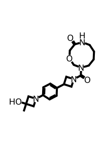 CC1(O)CN(c2ccc(C3CN(C(=O)N4CCCCNC(=O)COC4)C3)cc2)C1